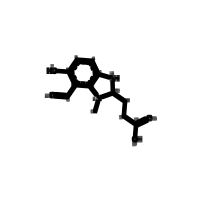 CN1c2c(ccc(O)c2C=O)NC1CCC(=O)O